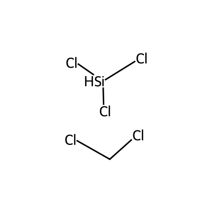 ClCCl.Cl[SiH](Cl)Cl